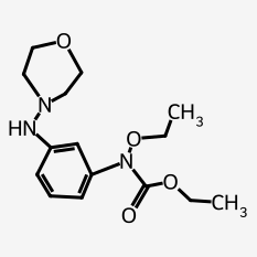 CCOC(=O)N(OCC)c1cccc(NN2CCOCC2)c1